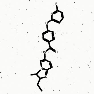 CCC1N=C2C=CC(NC(=O)c3ccc(Oc4cccc(F)n4)cc3)=CN2C1C